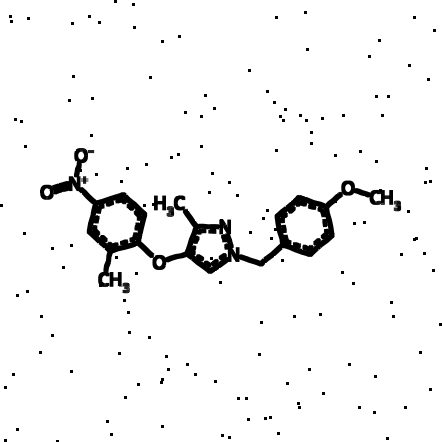 COc1ccc(Cn2cc(Oc3ccc([N+](=O)[O-])cc3C)c(C)n2)cc1